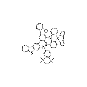 CC1(C)CCC(C)(C)c2cc(N3B4c5cccc6c5N(c5ccccc5C65c6ccccc6-c6ccccc65)c5c4c(cc4c5oc5ccccc54)-c4cc5c(cc43)sc3ccccc35)ccc21